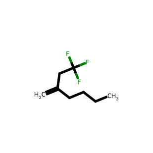 C=C(CCCC)CC(F)(F)F